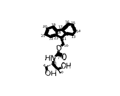 C[C@H](O)[C@H](CO)NC(=O)OCC1c2ccccc2-c2ccccc21